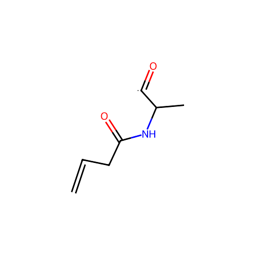 C=CCC(=O)NC(C)[C]=O